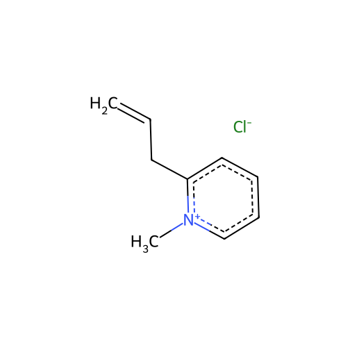 C=CCc1cccc[n+]1C.[Cl-]